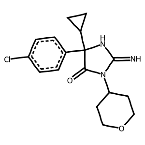 N=C1NC(c2ccc(Cl)cc2)(C2CC2)C(=O)N1C1CCOCC1